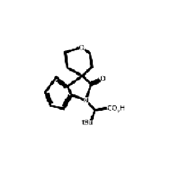 CC(C)(C)C(C(=O)O)N1C(=O)C2(CCOCC2)c2ccccc21